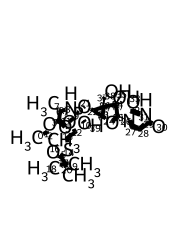 CC(C)OC(=O)[C@@H](C)NP(=O)(OCCSC(=O)C(C)(C)C)OC1[C@H]2O[C@@H](n3ccc(=O)[nH]c3=O)[C@H](O)[C@@]12CO